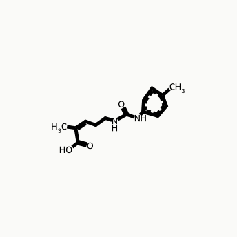 CC(=CCCNC(=O)Nc1ccc(C)cc1)C(=O)O